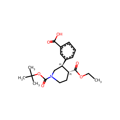 CCOC(=O)[C@@H]1CCN(C(=O)OC(C)(C)C)C[C@H]1c1cccc(C(=O)O)c1